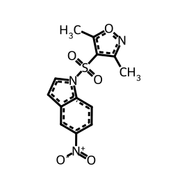 Cc1noc(C)c1S(=O)(=O)n1ccc2cc([N+](=O)[O-])ccc21